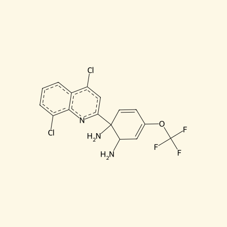 NC1C=C(OC(F)(F)F)C=CC1(N)c1cc(Cl)c2cccc(Cl)c2n1